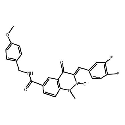 COc1ccc(CNC(=O)c2ccc3c(c2)C(=O)/C(=C/c2ccc(F)c(F)c2)[S+]([O-])N3C)cc1